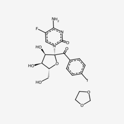 C1COCO1.Nc1nc(=O)n([C@]2(C(=O)c3ccc(I)cc3)O[C@H](CO)[C@@H](O)[C@H]2O)cc1F